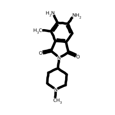 Cc1c(N)c(N)cc2c1C(=O)N(C1CCN(C)CC1)C2=O